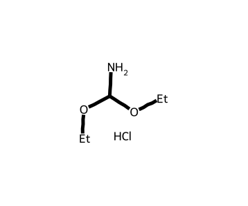 CCOC(N)OCC.Cl